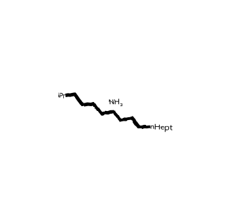 CCCCCCCCCCCCCCCC(C)C.N